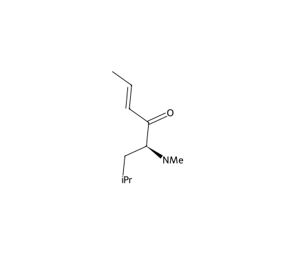 C/C=C/C(=O)[C@H](CC(C)C)NC